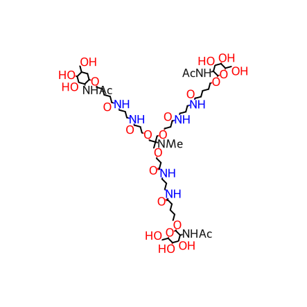 CNC(COCCC(=O)NCCCNC(=O)CCCCOC1CC(CO)C(O)C(O)C1NC(C)=O)(COCCC(=O)NCCCNC(=O)CCCCOC1OC(CO)C(O)C(O)C1NC(C)=O)COCCC(=O)NCCCNC(=O)CCCCOC1OC(CO)C(O)C(O)C1NC(C)=O